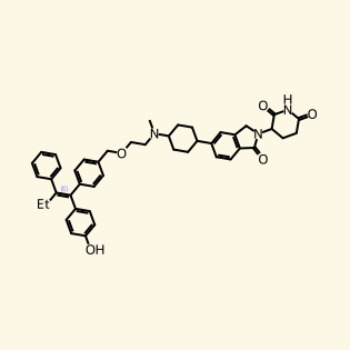 CC/C(=C(\c1ccc(O)cc1)c1ccc(COCCN(C)C2CCC(c3ccc4c(c3)CN(C3CCC(=O)NC3=O)C4=O)CC2)cc1)c1ccccc1